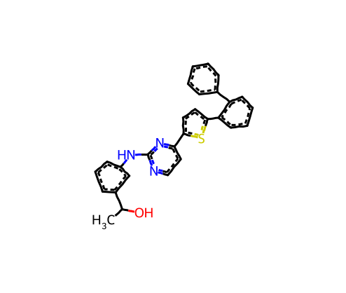 CC(O)c1cccc(Nc2nccc(-c3ccc(-c4ccccc4-c4ccccc4)s3)n2)c1